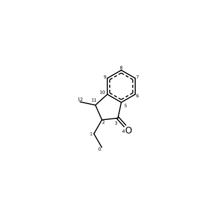 CCC1C(=O)c2ccccc2C1C